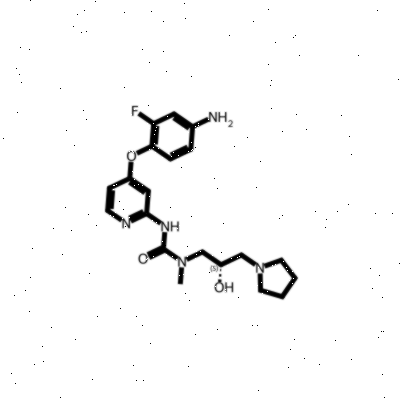 CN(C[C@@H](O)CN1CCCC1)C(=O)Nc1cc(Oc2ccc(N)cc2F)ccn1